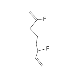 C=CC(F)CCCC(=C)F